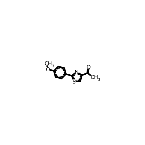 COc1ccc(-c2nc(C(C)=O)cs2)cc1